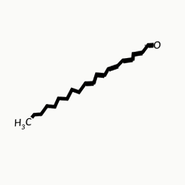 CCCCCCCCCC=CC=CC=CC=CC=C[C]=O